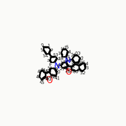 c1ccc(-c2ccc(N(c3cc(N(c4ccccc4)c4ccccc4)c4c(c3)oc3cc5ccccc5cc34)c3ccc4oc5ccccc5c4c3)cc2)cc1